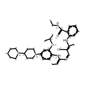 CC=C(/N=C\C(Cl)=C(/C)Nc1ccccc1C(=O)NCC)Nc1ccc(N2CCC(N3CCCCC3)CC2)cc1OC(C)C